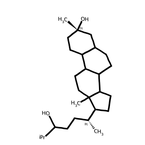 CC(C)C(O)CC[C@@H](C)C1CCC2C3CCC4C[C@@](C)(O)CCC4C3CCC21C